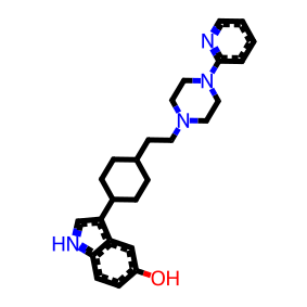 Oc1ccc2[nH]cc(C3CCC(CCN4CCN(c5ccccn5)CC4)CC3)c2c1